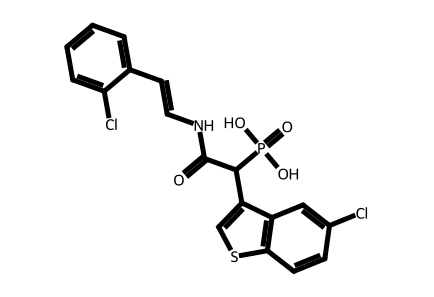 O=C(NC=Cc1ccccc1Cl)C(c1csc2ccc(Cl)cc12)P(=O)(O)O